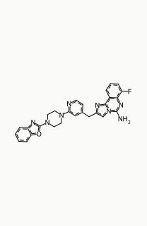 Nc1nc2c(F)cccc2c2nc(Cc3ccnc(N4CCN(c5nc6ccccc6o5)CC4)c3)cn12